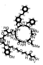 CCC(C)[C@@H]1NC(=O)[C@H](Cc2ccccc2)NC(=O)[C@H](Cc2ccc(CCc3ccccc3)cc2)NC(=O)[C@@H](NC(=O)[C@@H](NC(=O)[C@H](CO)NC(=O)[C@H](Cc2ccc(O)cc2)NC(=O)COCCOCCNC(=O)[C@@H](N)CS)C(C)O)CNC(=O)NNC(=O)[C@H](CCSC)NC1=O